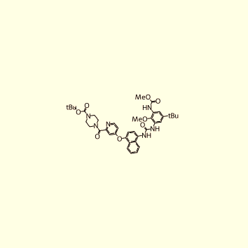 COC(=O)Nc1cc(C(C)(C)C)cc(NC(=O)Nc2ccc(Oc3ccnc(C(=O)N4CCN(C(=O)OC(C)(C)C)CC4)c3)c3ccccc23)c1OC